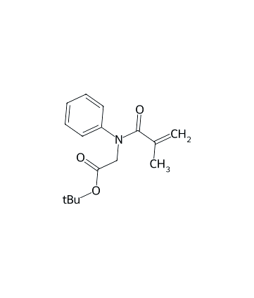 C=C(C)C(=O)N(CC(=O)OC(C)(C)C)c1ccccc1